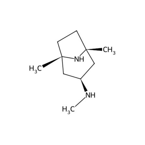 CN[C@H]1C[C@]2(C)CC[C@](C)(C1)N2